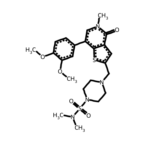 COc1ccc(-c2cn(C)c(=O)c3cc(CN4CCN(S(=O)(=O)N(C)C)CC4)sc23)cc1OC